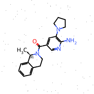 C[C@@H]1c2ccccc2CCN1C(=O)c1cnc(N)c(N2CCCC2)c1